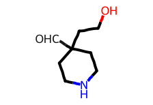 O=CC1(CCO)CCNCC1